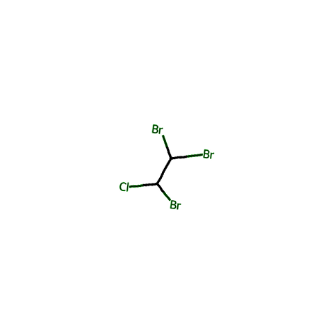 ClC(Br)C(Br)Br